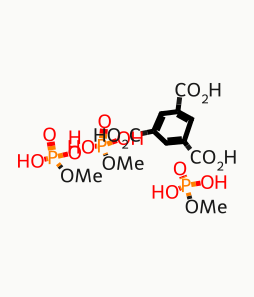 COP(=O)(O)O.COP(=O)(O)O.COP(=O)(O)O.O=C(O)c1cc(C(=O)O)cc(C(=O)O)c1